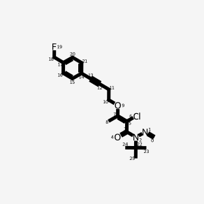 C=NN(C(=O)/C(Cl)=C(\C)OCCC#Cc1ccc(CF)cc1)C(C)(C)C